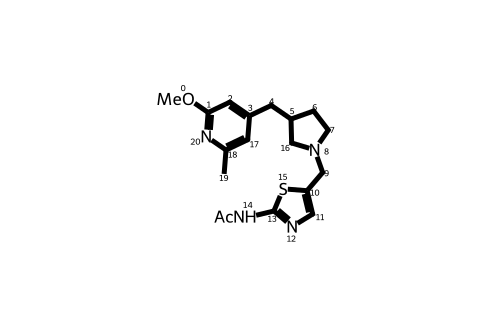 COc1cc(CC2CCN(Cc3cnc(NC(C)=O)s3)C2)cc(C)n1